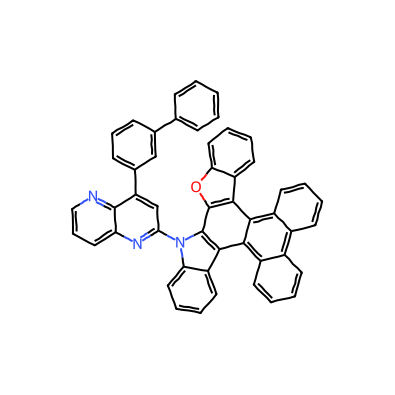 c1ccc(-c2cccc(-c3cc(-n4c5ccccc5c5c6c7ccccc7c7ccccc7c6c6c7ccccc7oc6c54)nc4cccnc34)c2)cc1